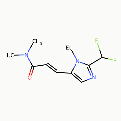 CCn1c(C=CC(=O)N(C)C)cnc1C(F)F